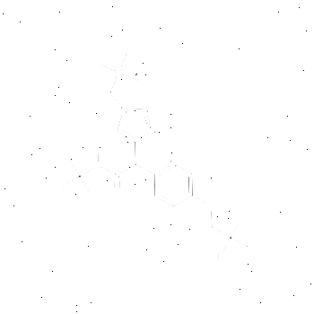 CC(C)(C)[S+]([O-])NC(c1ccc(OCC(F)(F)F)cn1)c1cn(C[Si](C)(C)C)nn1